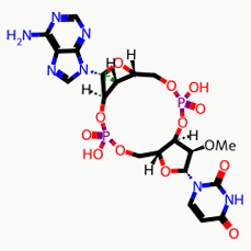 CO[C@@H]1[C@@H]2OP(=O)(O)OC[C@H]3O[C@@H](n4cnc5c(N)ncnc54)[C@H](OP(=O)(O)OC[C@H]2O[C@H]1n1ccc(=O)[nH]c1=O)[C@@H]3F